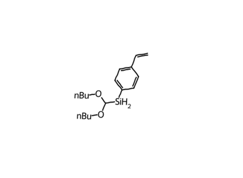 C=Cc1ccc([SiH2]C(OCCCC)OCCCC)cc1